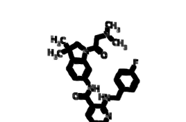 CN(C)CC(=O)N1CC(C)(C)c2ccc(NC(=O)c3cccnc3NCc3ccc(F)cc3)cc21